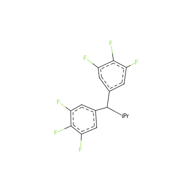 CC(C)C(c1cc(F)c(F)c(F)c1)c1cc(F)c(F)c(F)c1